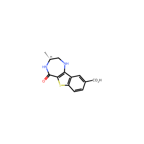 C[C@@H]1CNc2c(sc3ccc(C(=O)O)cc23)C(=O)N1